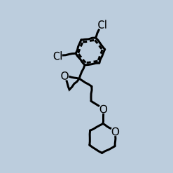 Clc1ccc(C2(CCOC3CCCCO3)CO2)c(Cl)c1